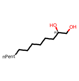 CCCCCCCCCCC[C@@H](O)CO